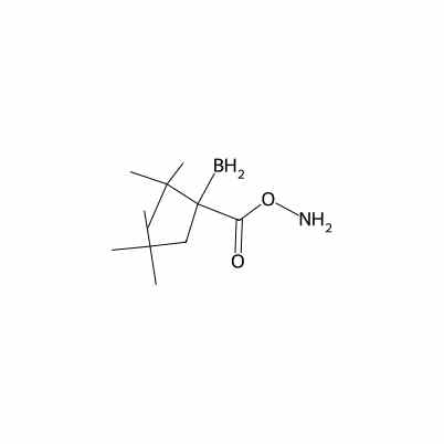 BC(CC(C)(C)C)(C(=O)ON)C(C)(C)C